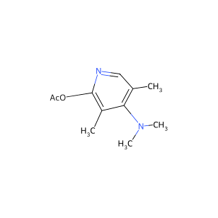 CC(=O)Oc1ncc(C)c(N(C)C)c1C